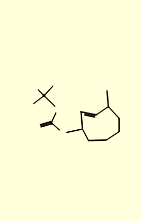 CC(C)(C)SC(=O)OC1/C=C/C(O)CCCC1